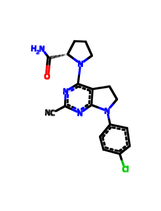 N#Cc1nc2c(c(N3CCC[C@H]3C(N)=O)n1)CCN2c1ccc(Cl)cc1